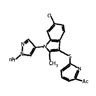 CCCn1cc(-n2c(C)c(Sc3cccc(C(C)=O)n3)c3ccc(Cl)cc32)cn1